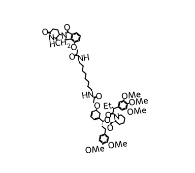 C=C1NC(=O)CCC1N1Cc2c(OCC(=O)NCCCCCCCCNC(=O)COC3C=CC=C([C@@H](CCc4ccc(OC)c(OC)c4)OC(=O)[C@@H]4CCCCN4C(=O)[C@@H](CC)c4cc(OC)c(OC)c(OC)c4)C3)cccc2C1=O